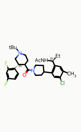 CC[C@H](NC(C)=O)c1cc(C)c(Cl)cc1C1CCN(C(=O)C2CCN(C(C)(C)C)C[C@H]2c2ccc(F)cc2F)CC1